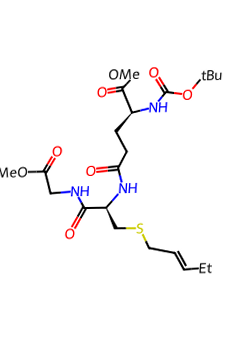 CC/C=C/CSC[C@H](NC(=O)CC[C@H](NC(=O)OC(C)(C)C)C(=O)OC)C(=O)NCC(=O)OC